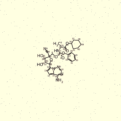 C[C@H](NP(=O)(OC[C@@]1(C#N)O[C@@H](c2ccc3c(N)ncnn23)[C@H](O)[C@@H]1O)Oc1ccccc1)C(=O)OC1CCCCC1